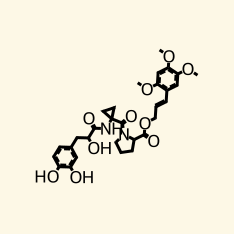 COc1cc(OC)c(OC)cc1/C=C/COC(=O)C1CCCN1C(=O)C1(NC(=O)C(O)Cc2ccc(O)c(O)c2)CC1